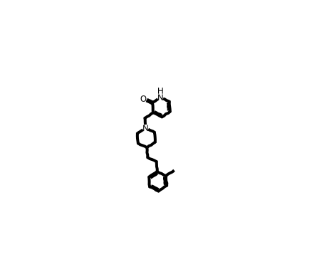 Cc1ccccc1CCC1CCN(Cc2ccc[nH]c2=O)CC1